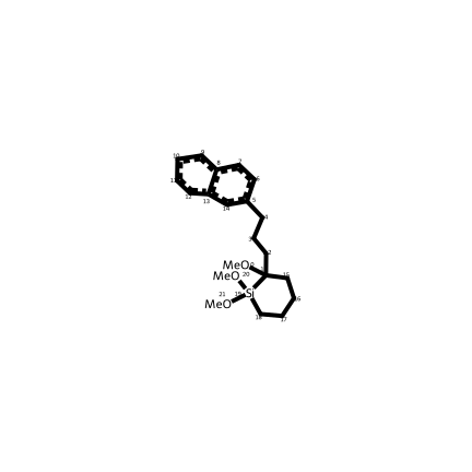 COC1(CCCc2ccc3ccccc3c2)CCCC[Si]1(OC)OC